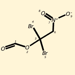 O=COC(Br)(Br)C[N+](=O)[O-]